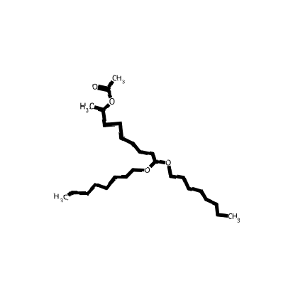 CCCCCCCCOC(CCCCCCC(C)OC(C)=O)OCCCCCCCC